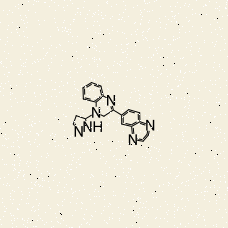 C1=NNC(N2CC(c3ccc4nccnc4c3)=Nc3ccccc32)C1